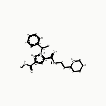 CNC(=O)c1cc(C(=O)NCCC2CCCCO2)n(C(C)c2ccccc2)n1